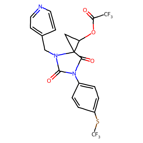 O=C1N(c2ccc(SC(F)(F)F)cc2)C(=O)C2(CC2OC(=O)C(F)(F)F)N1Cc1ccncc1